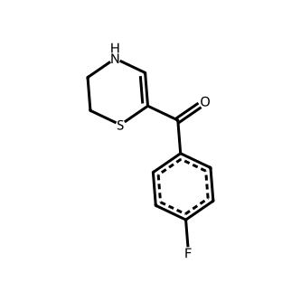 O=C(C1=CNCCS1)c1ccc(F)cc1